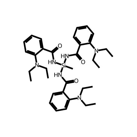 CCN(CC)c1ccccc1C(=O)N[Si](C)(NC(=O)c1ccccc1N(CC)CC)NC(=O)c1ccccc1N(CC)CC